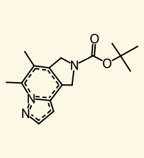 Cc1c2c(c3ccnn3c1C)CN(C(=O)OC(C)(C)C)C2